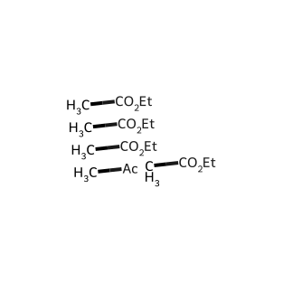 CC(C)=O.CCOC(C)=O.CCOC(C)=O.CCOC(C)=O.CCOC(C)=O